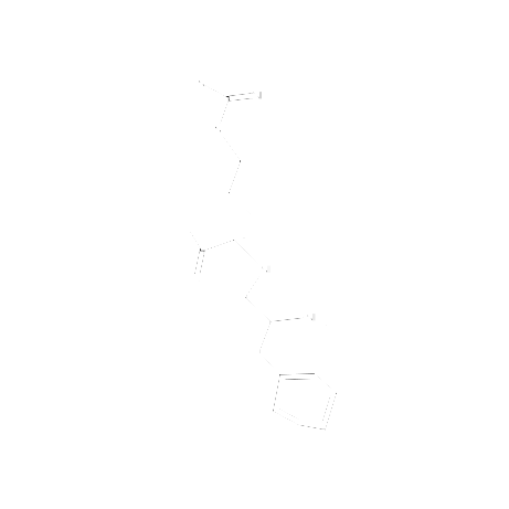 N=C(N)NCCC[C@H](NCC(N)Cc1ccccc1)C(=O)O